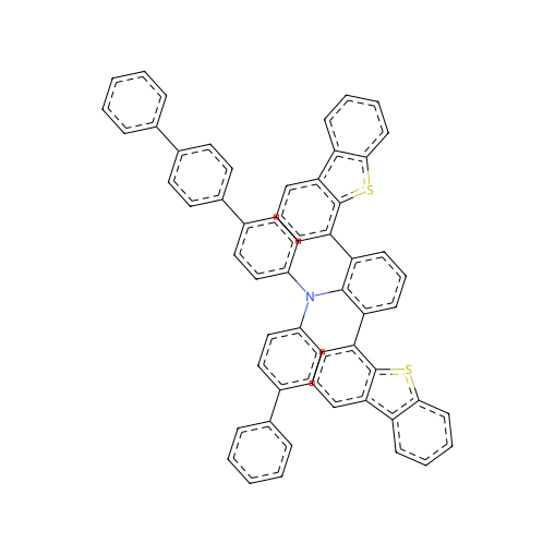 c1ccc(-c2ccc(-c3ccc(N(c4ccc(-c5ccccc5)cc4)c4c(-c5cccc6c5sc5ccccc56)cccc4-c4cccc5c4sc4ccccc45)cc3)cc2)cc1